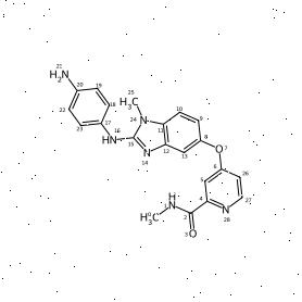 CNC(=O)c1cc(Oc2ccc3c(c2)nc(Nc2ccc(N)cc2)n3C)ccn1